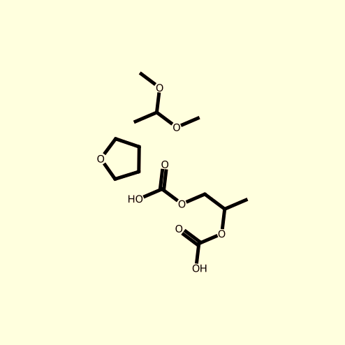 C1CCOC1.CC(COC(=O)O)OC(=O)O.COC(C)OC